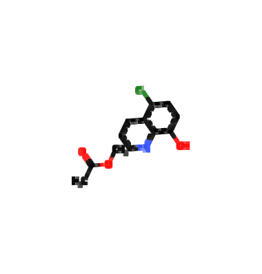 COC(C)=O.Oc1ccc(Cl)c2cccnc12